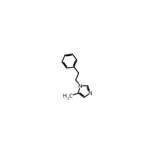 Cc1cncn1CCc1ccccc1